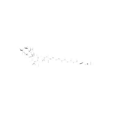 CC/C=C/CCCCCCCCCCC[C@H](O)C[C@H]1C[C@H](O)C[C@@]2(C[C@@H]3OC(=O)C=C[C@@H]3O2)O1